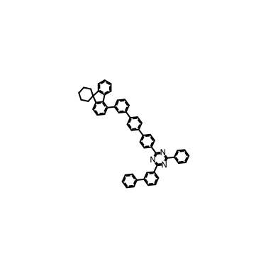 c1ccc(-c2cccc(-c3nc(-c4ccccc4)nc(-c4ccc(-c5ccc(-c6cccc(-c7cccc8c7-c7ccccc7C87CCCCC7)c6)cc5)cc4)n3)c2)cc1